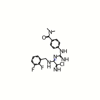 CN(C)C(=O)c1ccc(NC(=N)/N=C(/NCc2cccc(F)c2F)C(=N)Cl)cc1